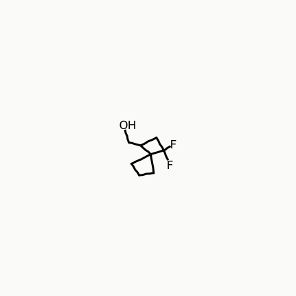 OCC1CC(F)(F)C12CCC2